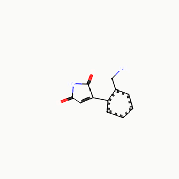 NCc1ccccc1C1=CC(=O)NC1=O